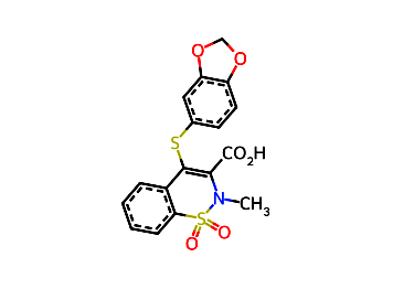 CN1C(C(=O)O)=C(Sc2ccc3c(c2)OCO3)c2ccccc2S1(=O)=O